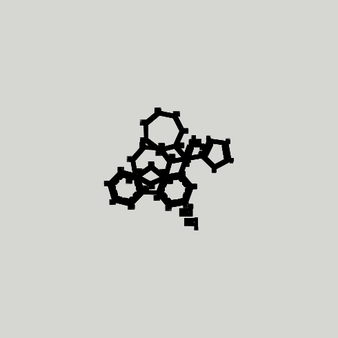 Cl.Cl.[SiH2]=[Zr]([C]1=CC=CC1)([c]1cccc2c1Cc1ccccc1-2)([CH]1CCCCCC1)[CH]1CCCCCC1